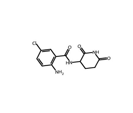 Nc1ccc(Cl)cc1C(=O)NC1CCC(=O)NC1=O